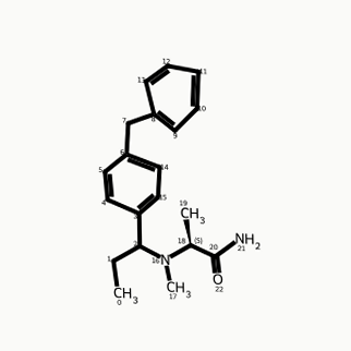 CCC(c1ccc(Cc2ccccc2)cc1)N(C)[C@@H](C)C(N)=O